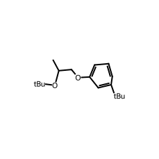 CC(COc1cccc(C(C)(C)C)c1)OC(C)(C)C